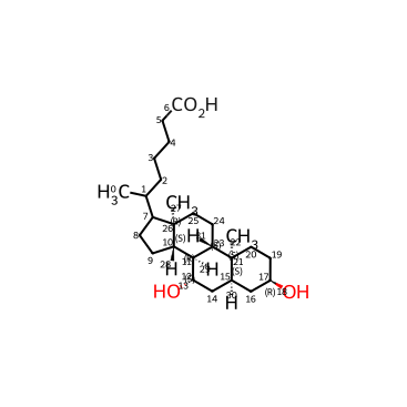 CC(CCCCC(=O)O)C1CC[C@H]2[C@@H]3[C@@H](O)C[C@@H]4C[C@H](O)CC[C@]4(C)[C@H]3CC[C@]12C